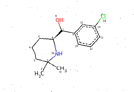 CC1(C)CCC[C@@H](C(O)c2cccc(Cl)c2)N1